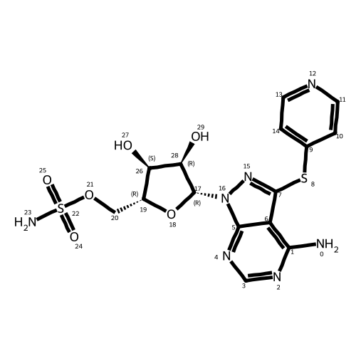 Nc1ncnc2c1c(Sc1ccncc1)nn2[C@@H]1O[C@H](COS(N)(=O)=O)[C@@H](O)[C@H]1O